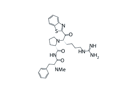 CN[C@H](Cc1ccccc1)C(=O)NC(=O)[C@@H]1CCCN1[C@@H](CCCCNC(=N)N)C(=O)c1nc2ccccc2s1